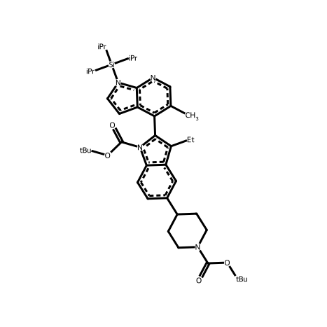 CCc1c(-c2c(C)cnc3c2ccn3[Si](C(C)C)(C(C)C)C(C)C)n(C(=O)OC(C)(C)C)c2ccc(C3CCN(C(=O)OC(C)(C)C)CC3)cc12